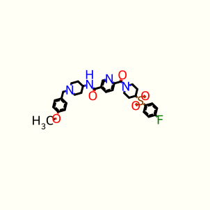 COc1ccc(CN2CCC(NC(=O)c3ccc(C(=O)N4CCC(S(=O)(=O)c5ccc(F)cc5)CC4)nc3)CC2)cc1